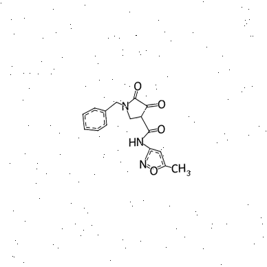 Cc1cc(NC(=O)C2CN(Cc3ccccc3)C(=O)C2=O)no1